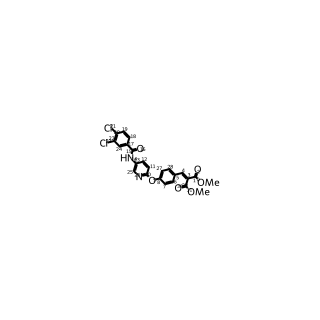 COC(=O)C(=Cc1ccc(Oc2ccc(NC(=O)c3ccc(Cl)c(Cl)c3)cn2)cc1)C(=O)OC